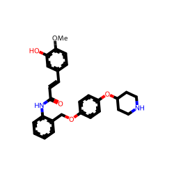 COc1ccc(C=CC(=O)Nc2ccccc2COc2ccc(OC3CCNCC3)cc2)cc1O